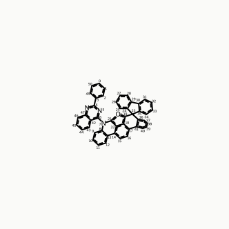 c1ccc(-c2nc(N3c4ccccc4-c4ccc5c6c(oc3c46)C3(c4ccccc4-c4ccccc43)c3ccccc3-5)c3ccccc3n2)cc1